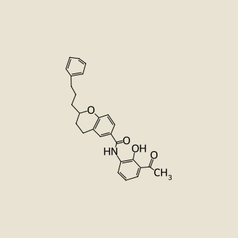 CC(=O)c1cccc(NC(=O)c2ccc3c(c2)CCC(CCCc2ccccc2)O3)c1O